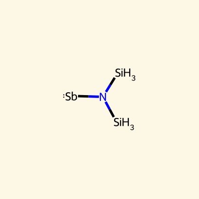 [SiH3][N]([SiH3])[Sb]